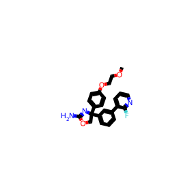 COCCOc1ccc(C2(c3cccc(-c4cccnc4F)c3)COC(N)=N2)cc1